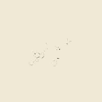 O=C(OCOP(=O)(COC[C@H]1O[C@@H](n2ccc3c(NC4CCCC4)nc(Cl)nc32)[C@H](O)[C@@H]1O)OCOC(=O)N1CCOCC1)N1CCOCC1